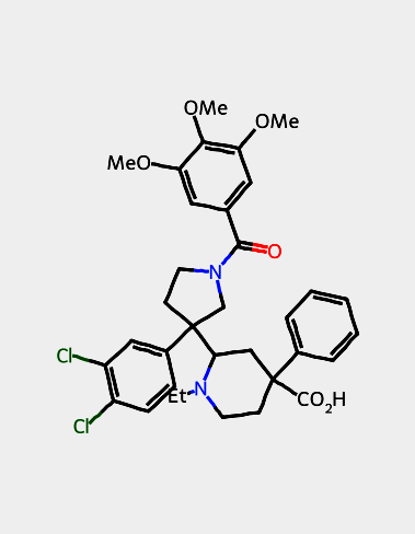 CCN1CCC(C(=O)O)(c2ccccc2)CC1C1(c2ccc(Cl)c(Cl)c2)CCN(C(=O)c2cc(OC)c(OC)c(OC)c2)C1